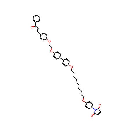 O=C(/C=C/c1ccc(OCCOc2ccc(-c3ccc(OCCCCCCCCCCOc4ccc(N5C(=O)C=CC5=O)cc4)cc3)cc2)cc1)c1ccccc1